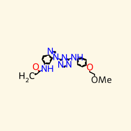 C=CC(=O)Nc1ccc2ncn(-c3ncnc(Nc4ccc(OCCOC)cc4)n3)c2c1